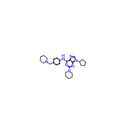 c1cc(Nc2nc(N3CCCCC3)nc3c2ncn3C2CCCC2)ccc1CN1CCCCC1